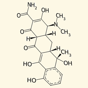 CN(C)[C@@H]1C(O)=C(C(N)=O)C(=O)[C@H]2C(=O)C3=C(O)c4c(O)cccc4[C@@](C)(O)[C@H]3C[C@H]21